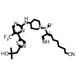 CC(C)(O)Cc1ncc(-c2nc(NC3CCN([S+]([O-])/C(C=N)=C/CCCCCC#N)CC3)ncc2C(F)(F)F)s1